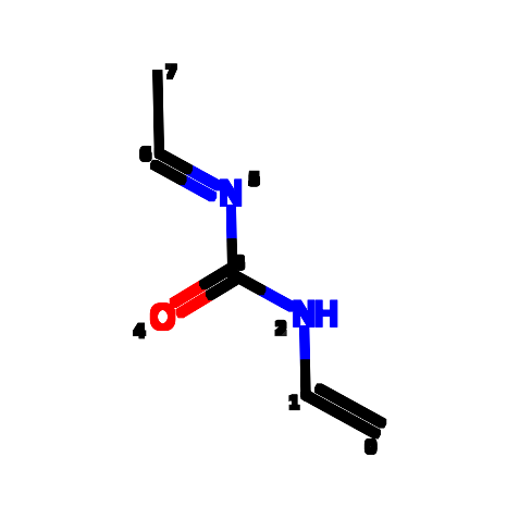 C=CNC(=O)N=CC